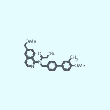 COCc1ccc2c(N(Cc3ccc(-c4ccc(OC)c(C)c4)cc3)C(=O)CC(C)(C)C)nccc2c1